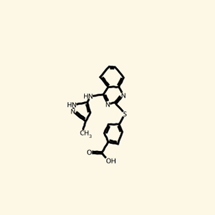 Cc1cc(Nc2nc(Sc3ccc(C(=O)O)cc3)nc3ccccc23)[nH]n1